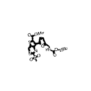 COC(=O)c1sc2cnc(S(C)(=O)=O)nc2c1-c1ccc(CNC(=O)OC(C)(C)C)o1